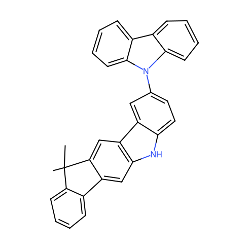 CC1(C)c2ccccc2-c2cc3[nH]c4ccc(-n5c6ccccc6c6ccccc65)cc4c3cc21